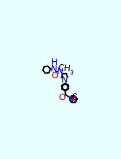 CN(C(=O)NC1CCCCC1)C1CCN(c2ccc(C(=O)N3CC4CCC(CC4)C3)cc2)C1